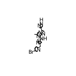 Cc1cn2c(-c3cn[nH]c3)cnc2c(Nc2cc(Cc3ccc(Br)cn3)ns2)n1